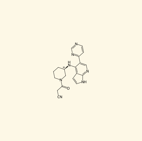 N#CCC(=O)N1CCC[C@@H](Nc2c(-c3ccncn3)cnc3[nH]ccc23)C1